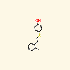 Cc1ccccc1CCSc1ccc(O)cc1